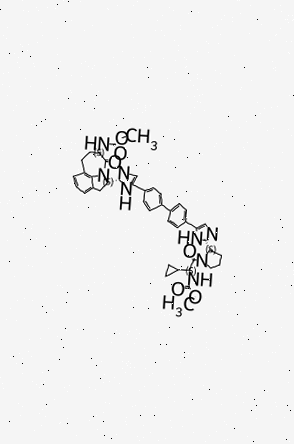 COC(=O)N[C@H]1CCc2cccc3c2N(C1=O)[C@H](c1ncc(-c2ccc(-c4ccc(-c5cnc([C@@H]6CCCN6C(=O)[C@@H](NC(=O)OC)C6CC6)[nH]5)cc4)cc2)[nH]1)C3